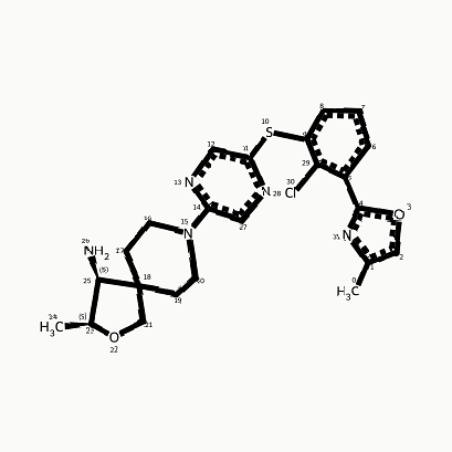 Cc1coc(-c2cccc(Sc3cnc(N4CCC5(CC4)CO[C@@H](C)[C@H]5N)cn3)c2Cl)n1